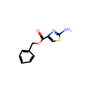 Nc1nc(C(=O)OCc2ccccc2)cs1